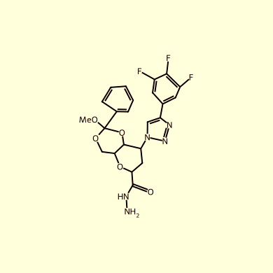 COC1(c2ccccc2)OCC2OC(C(=O)NN)CC(n3cc(-c4cc(F)c(F)c(F)c4)nn3)C2O1